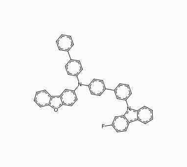 Fc1ccc2c3ccccc3n(-c3cccc(-c4ccc(N(c5ccc(-c6ccccc6)cc5)c5ccc6oc7ccccc7c6c5)cc4)c3)c2c1